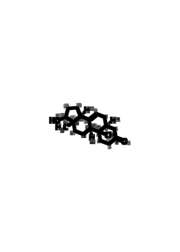 C[C@]12CCC(=O)C[C@@H]1CC=C1[C@@H]2CC[C@]2(C)[C@@H](O)CC[C@@H]12